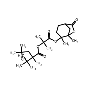 CC(C)(C)CC(C)(C(=O)OC(C)(C)C(=O)OC1(C)CCC2CC1(C)OC2=O)C(C)(C)C